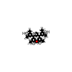 CC(C)(C)C1=CC(=C(c2ccnc(C(=C3C=C(C(C)(C)C)C(=O)C(C(C)(C)C)=C3)c3cc(C(C)(C)C)c(O)c(C(C)(C)C)c3)c2)c2cc(C(C)(C)C)c(O)c(C(C)(C)C)c2)C=C(C(C)(C)C)C1=O